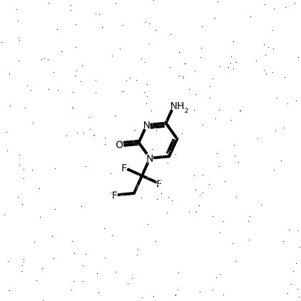 Nc1ccn(C(F)(F)CF)c(=O)n1